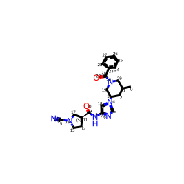 CC1CC(n2cnc(NC(=O)[C@H]3CCN(C#N)C3)c2)CN(C(=O)c2ccccc2)C1